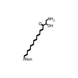 CCCCCCCCCC=CC=CC=CC=CC=CC=CC(=O)C(O)CN